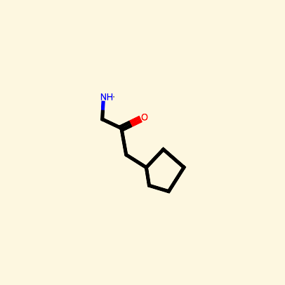 [NH]CC(=O)CC1CCCC1